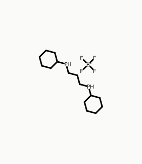 C1CCC(PCCCPC2CCCCC2)CC1.F[B-](F)(F)F